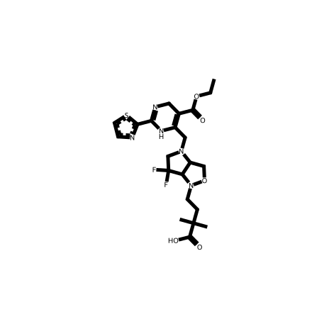 CCOC(=O)C1=C(CN2CC(F)(F)C3C2CON3CCC(C)(C)C(=O)O)NC(c2nccs2)=NC1